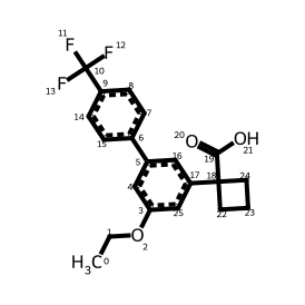 CCOc1cc(-c2ccc(C(F)(F)F)cc2)cc(C2(C(=O)O)CCC2)c1